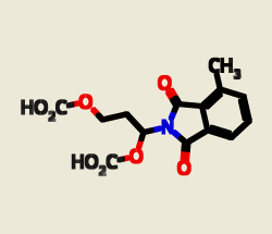 Cc1cccc2c1C(=O)N(C(CCOC(=O)O)OC(=O)O)C2=O